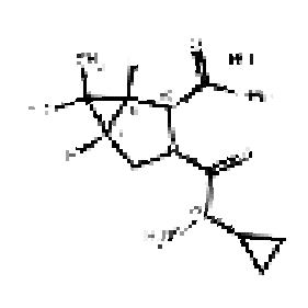 COC(=O)[C@@H]1[C@@H]2[C@H](CN1C(=O)[C@@H](N)C1CC1)C2(C)C.Cl